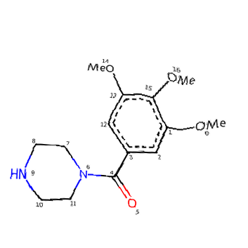 COc1cc(C(=O)N2CCNCC2)cc(OC)c1OC